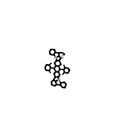 Cc1cccc(C)c1-c1c2cc3c4cccc5c6ccccc6n(c3cc2c(-c2c(C)cccc2C)c2cc3c6cccc7c8ccccc8n(c3cc12)c76)c54